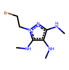 CNc1nn(CCBr)c(NC)c1NC